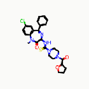 CN1C(=O)C(NC(=S)N2CCN(C(=O)C3CCCO3)CC2)N=C(c2ccccc2)c2cc(Cl)ccc21